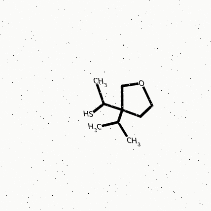 CC(C)C1(C(C)S)CCOC1